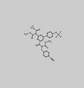 COC(=O)N(Cc1ccc(C#N)cc1)C(=O)c1cc(-c2ccc(OC(F)(F)F)cc2)cc(N(C(=O)OC)C(=O)C2CC2)n1